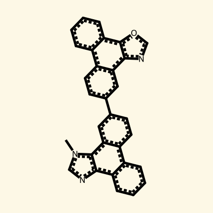 Cn1cnc2c3ccccc3c3ccc(-c4ccc5c6ccccc6c6ocnc6c5c4)cc3c21